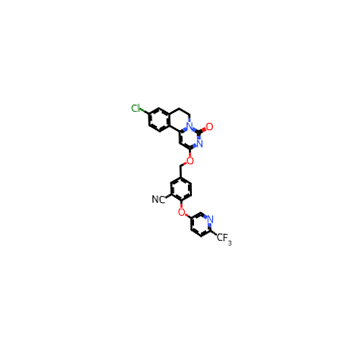 N#Cc1cc(COc2cc3n(c(=O)n2)CCc2cc(Cl)ccc2-3)ccc1Oc1ccc(C(F)(F)F)nc1